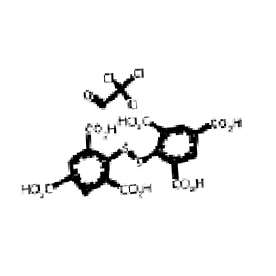 O=C(O)c1cc(C(=O)O)c(SSc2c(C(=O)O)cc(C(=O)O)cc2C(=O)O)c(C(=O)O)c1.O=CC(Cl)(Cl)Cl